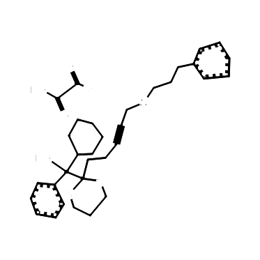 O=C(O)C(=O)O.OC(c1ccccc1)(C1CCCCC1)C1(CCC#CCNCCCc2ccccc2)SCCCS1